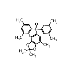 Cc1cc(C)cc(P(=O)(c2cc(C)cc(C)c2)c2cc(C)c3c(c2I)OC(C)(C)O3)c1